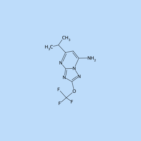 CC(C)c1cc(N)n2nc(OC(F)(F)F)nc2n1